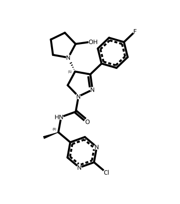 C[C@@H](NC(=O)N1C[C@H](N2CCCC2O)C(c2ccc(F)cc2)=N1)c1cnc(Cl)nc1